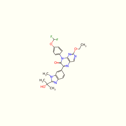 CCOc1ncc2nc(-c3ccc4nc(C(C)(C)O)n(C)c4c3)c(=O)n(-c3ccc(OC(F)F)cc3)c2n1